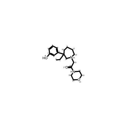 CCC1(c2cccc(O)c2)CCCCN(CC(=O)N2CCOCC2)C1